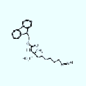 C[C@@](CCCCCCN=[N+]=[N-])(NC(=O)OCC1c2ccccc2-c2ccccc21)C(=O)O